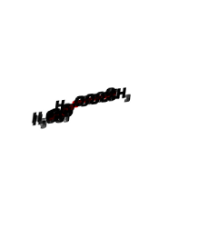 COC(=O)CCOCCOCCOCCOCCOCCOc1ccc(C2CCN(S(=O)(=O)c3ccc(C(=O)NCC(=O)OC(C)(C)C)cc3)CC2)cc1